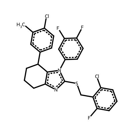 Cc1cc(C2CCCc3nc(SCc4c(F)cccc4Cl)n(-c4ccc(F)c(F)c4)c32)ccc1Cl